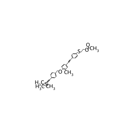 CC(=O)OCCSc1ccc(C#Cc2ccc(OCc3ccc(C#C[Si](C)(C)C)cc3)c(C)c2)cc1